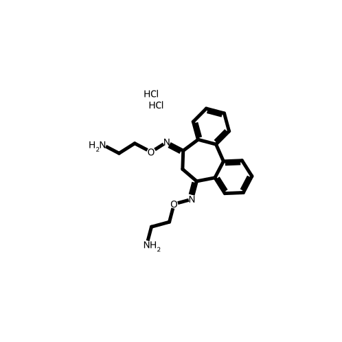 Cl.Cl.NCCON=C1CC(=NOCCN)c2ccccc2-c2ccccc21